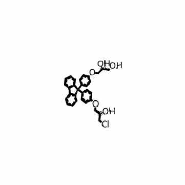 OC[C@@H](O)COc1ccc(C2(c3ccc(OC[C@H](O)CCl)cc3)c3ccccc3-c3ccccc32)cc1